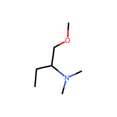 CCC(COC)N(C)C